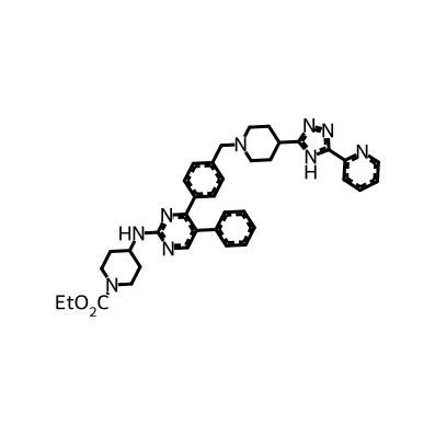 CCOC(=O)N1CCC(Nc2ncc(-c3ccccc3)c(-c3ccc(CN4CCC(c5nnc(-c6ccccn6)[nH]5)CC4)cc3)n2)CC1